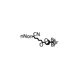 [CH2]CCCCCCCCC(C#N)CCCCC(=O)[C]1OC2CCC1CC2C(Br)(Br)Br